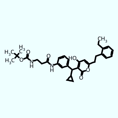 CCc1ccccc1CCc1cc(O)c(C(c2cccc(NC(=O)CCNC(=O)OC(C)(C)C)c2)C2CC2)c(=O)o1